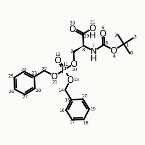 CC(C)(C)OC(=O)N[C@@H](COP(=O)(OCc1ccccc1)OCc1ccccc1)C(=O)O